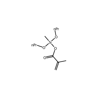 C=C(C)C(=O)O[Si](C)(OCCC)OCCC